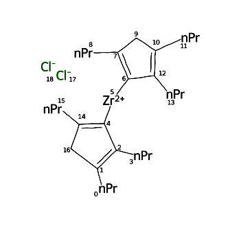 CCCC1=C(CCC)[C]([Zr+2][C]2=C(CCC)CC(CCC)=C2CCC)=C(CCC)C1.[Cl-].[Cl-]